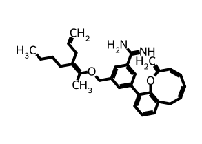 C=CC/C(CCCC)=C(/C)OCc1cc(C(=N)N)cc(-c2cccc3c2OC(=C)/C=C\C=C/C3)c1